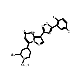 CC(C)(C)C1CC(c2cc(=O)[nH]c3c(-c4noc(-c5cc(Cl)ccc5F)n4)cnn23)CCN1C(=O)O